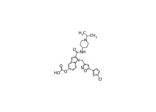 CC(C)N1CCC(NC(=O)c2cc3cc(OC(=O)O)ccc3n2Cc2cc(-c3ccc(Cl)s3)on2)CC1